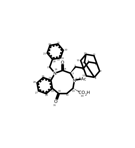 CC(=O)N1[C@H](CC23CC4CC(CC(C4)C2)C3)C(=O)N(Cc2ccccc2)c2ccccc2C(=O)C[C@H]1C(=O)O